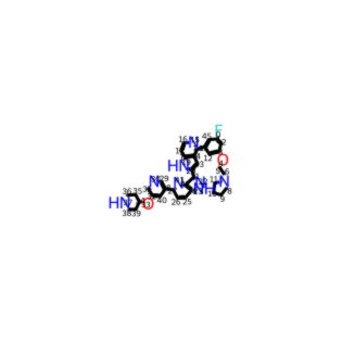 Fc1cc(OCCN2CCCC2)cc(-c2nccc3[nH]c(-c4n[nH]c5ccc(-c6cncc(OC7CCNCC7)c6)nc45)cc23)c1